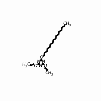 C=CCOc1nc(OCC=C)nc(OCCCCCCCCCCCCCCCC)n1